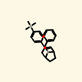 C[Si](C)(C)c1ccc(C2=CC3CCC(C2)N3Cc2ccccc2)cc1